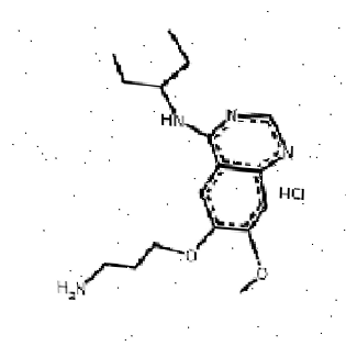 CCC(CC)Nc1ncnc2cc(OC)c(OCCCN)cc12.Cl